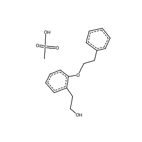 CS(=O)(=O)O.OCCc1ccccc1OCCc1ccccc1